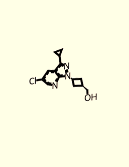 OC[C@H]1C[C@H](n2nc(C3CC3)c3cc(Cl)cnc32)C1